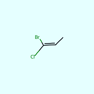 C/C=C(/Cl)Br